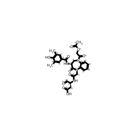 CC(=O)OCC(=O)N1C[C@H](NC(=O)c2cc(C)c(O)c(C)c2)C(=O)N(CC(=O)N[C@H](C=O)CC(=O)O)c2ccccc21